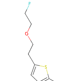 FCCOCCc1ccc(Br)s1